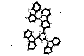 C1=CC2c3ccccc3N(c3nc(-c4ccc5c6ccccc6n(-c6cccc7oc8ccccc8c67)c5c4)nc(-n4c5ccccc5c5ccccc54)n3)C2C=C1